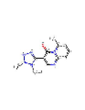 CCOC(=O)N1C(c2cnc3cccc(C)n3c2=O)=NNN1C